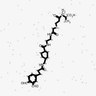 C[C@@H](C(=O)O)N(C)C(=O)CCSCC(=O)NCCNC(=O)C1CCC(CNC(=O)CCc2ccc(C=O)c(C=O)c2)CC1